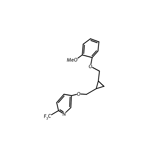 COc1ccccc1OCC1CC1COc1ccc(C(F)(F)F)nc1